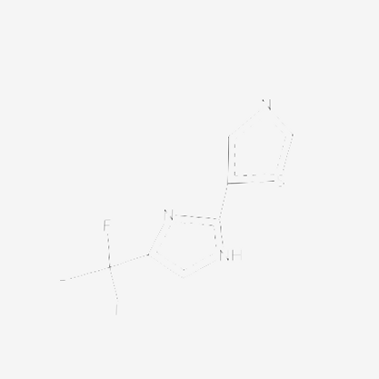 FC(F)(F)c1c[nH]c(-c2cncs2)n1